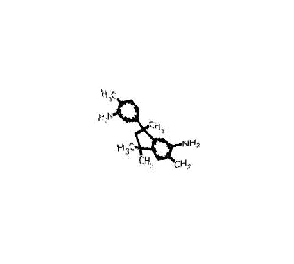 Cc1ccc(C2(C)CC(C)(C)c3cc(C)c(N)cc32)cc1N